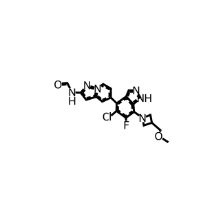 COCC1CN(c2c(F)c(Cl)c(-c3ccn4nc(NC=O)cc4c3)c3cn[nH]c23)C1